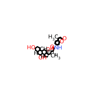 Cc1cc(=O)oc2cc(NC(=O)CC[C@@H](C)[C@H]3CC[C@H]4C5C(C[C@H](O)[C@]34C)[C@@]3(C)CC[C@@H](O)C[C@H]3C[C@H]5O)ccc12